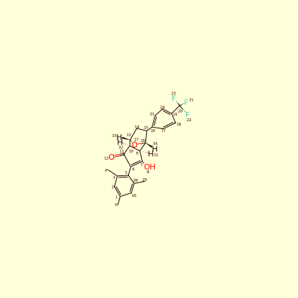 Cc1cc(C)c(C2=C(O)[C@H]3[C@@H](C2=O)[C@@H]2CC(c4ccc(C(F)(F)F)cc4)[C@H]3O2)c(C)c1